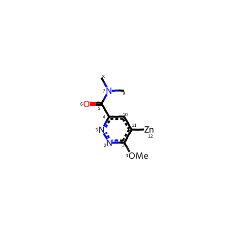 COc1nnc(C(=O)N(C)C)c[c]1[Zn]